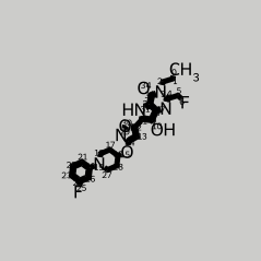 CCCn1c(CF)nc2c(O)c(-c3cc(OC4CCN(c5cccc(F)c5)CC4)no3)[nH]c2c1=O